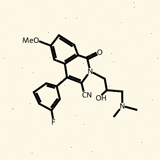 COc1ccc2c(=O)n(CC(O)CN(C)C)c(C#N)c(-c3cccc(F)c3)c2c1